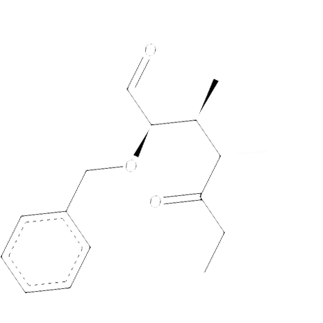 CCC(=O)[C@@H](C)[C@H](C)[C@H](C=O)OCc1ccccc1